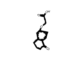 O=C(O)COc1ccc2c(c1)CCCC2=O